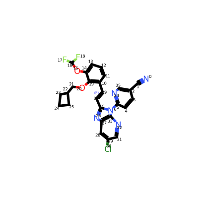 N#Cc1ccc(-n2c(/C=C/c3cccc(OC(F)F)c3OCC3CCC3)nc3cc(Cl)cnc32)nc1